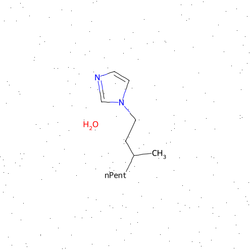 CCCCCC(C)CCn1ccnc1.O